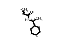 C=CC(=O)NC(C)C1CCCCC1